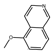 COc1[c]ccc2cnccc12